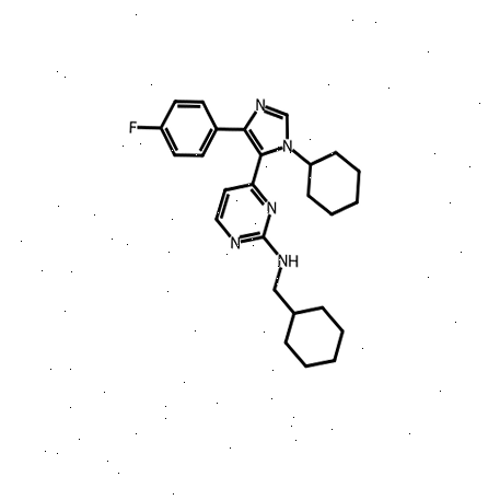 Fc1ccc(-c2ncn(C3CCCCC3)c2-c2ccnc(NCC3CCCCC3)n2)cc1